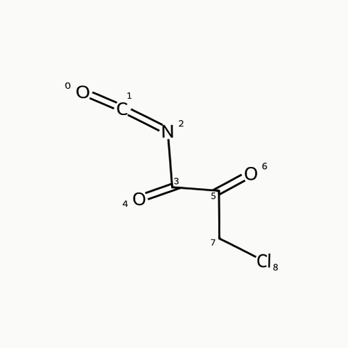 O=C=NC(=O)C(=O)CCl